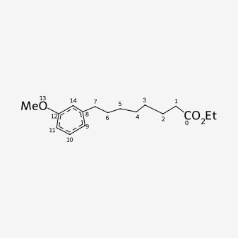 CCOC(=O)CCCCCCCc1cccc(OC)c1